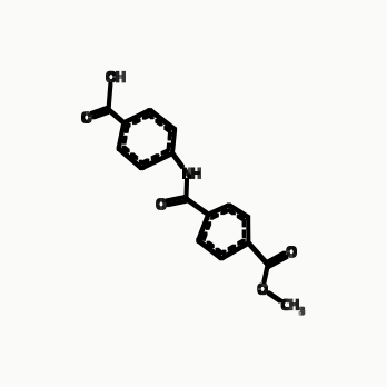 COC(=O)c1ccc(C(=O)Nc2ccc(C(=O)O)cc2)cc1